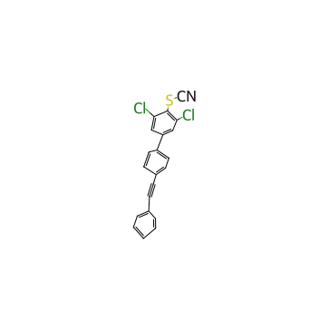 N#CSc1c(Cl)cc(-c2ccc(C#Cc3ccccc3)cc2)cc1Cl